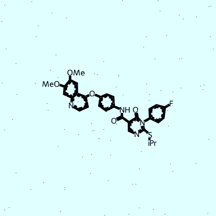 COc1cc2nccc(Oc3ccc(NC(=O)c4cnc(SC(C)C)n(-c5ccc(F)cc5)c4=O)cc3)c2cc1OC